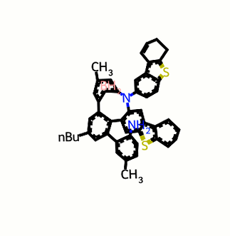 Bc1c2cc(C)cc1N(c1ccc3sc4c(c3c1)C=CCC4)c1cc3c(cc1-c1c(-c4cc(C)ccc4N)cc(CCCC)cc1-2)sc1ccccc13